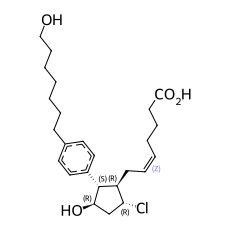 O=C(O)CCC/C=C\C[C@@H]1[C@@H](c2ccc(CCCCCCCO)cc2)[C@H](O)C[C@H]1Cl